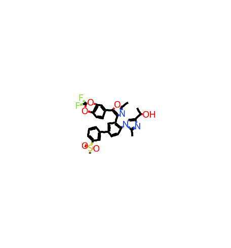 Cc1nc(-c2cc(-c3cccc(S(C)(=O)=O)c3)ccc2-n2cc(C(C)O)nc2C)c(-c2ccc3c(c2)OC(F)(F)O3)o1